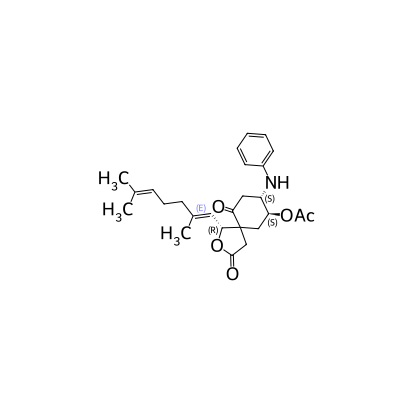 CC(=O)O[C@H]1CC2(CC(=O)O[C@@H]2/C=C(\C)CCC=C(C)C)C(=O)C[C@@H]1Nc1ccccc1